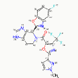 Cn1ccc(-c2nc(C(F)(F)F)c(C(=O)N3CCc4[nH]cnc4[C@H]3c3nc4cc(F)ccc4o3)o2)n1